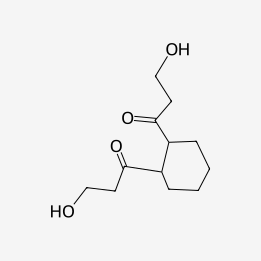 O=C(CCO)C1CCCCC1C(=O)CCO